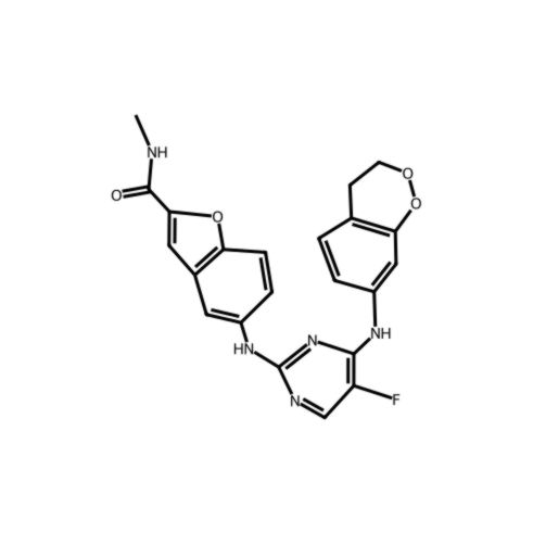 CNC(=O)c1cc2cc(Nc3ncc(F)c(Nc4ccc5c(c4)OOCC5)n3)ccc2o1